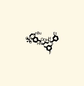 CCCCN1CCN(S(C)(=O)=O)c2ccc(C(=O)N[C@@H](Cc3cc(F)cc(F)c3)[C@@H](O)CNCc3cccc(CC)c3)cc21